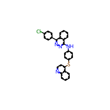 Clc1ccc(-c2nnc(Nc3ccc(Sc4ccnc5ccccc45)cc3)c3ccccc23)cc1